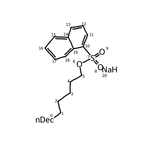 CCCCCCCCCCCCCCCOS(=O)(=O)c1cccc2ccccc12.[NaH]